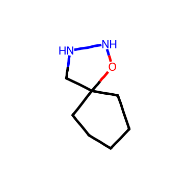 C1CCC2(CC1)CNNO2